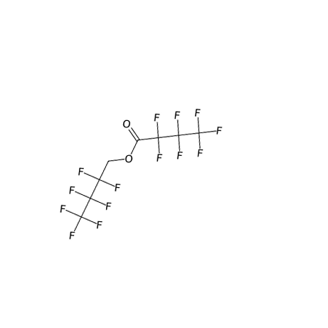 O=C(OCC(F)(F)C(F)(F)C(F)(F)F)C(F)(F)C(F)(F)C(F)(F)F